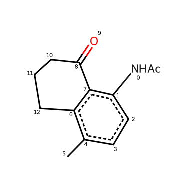 CC(=O)Nc1ccc(C)c2c1C(=O)CCC2